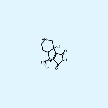 CCC1(C2=C(C)C(=O)NC2=O)CNCCN1C(=O)NC(C)C